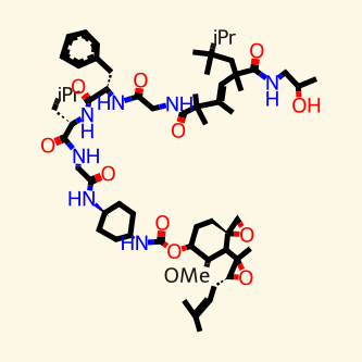 COC1C(OC(=O)N[C@H]2CC[C@H](NC(=O)CNC(=O)[C@H](CC(C)C)NC(=O)[C@H](Cc3ccccc3)NC(=O)CNC(=O)C(C)(C)/C(C)=C/C(C)(CC(C)(C)C(C)C)C(=O)NCC(C)O)CC2)CC[C@]2(CO2)C1C1(C)O[C@@H]1CC=C(C)C